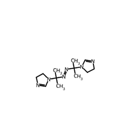 CC(C)(N=NC(C)(C)N1C=NCC1)N1C=NCC1